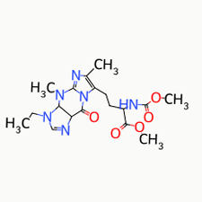 CCN1C=NC2C(=O)n3c(nc(C)c3CCC(NC(=O)OC)C(=O)OC)N(C)C21